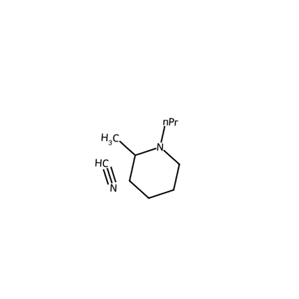 C#N.CCCN1CCCCC1C